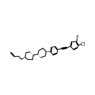 C=CCC[C@H]1CC[C@H]([C@H]2CC[C@H](c3ccc(C#Cc4ccc(Cl)c(F)c4)cc3)CC2)CC1